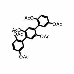 CC(=O)Oc1ccc(OC(C)=O)c(-c2cc(OC(C)=O)c(-c3cc(OC(C)=O)ccc3OC(C)=O)cc2OC(C)=O)c1